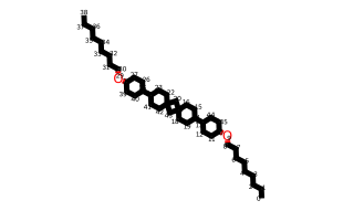 CCCCCCCCCOC1CCC(C2CCC3(CC2)CC2(CCC(C4CCC(OCCCCCCCCC)CC4)CC2)C3)CC1